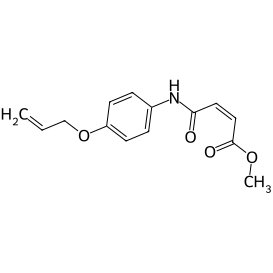 C=CCOc1ccc(NC(=O)/C=C\C(=O)OC)cc1